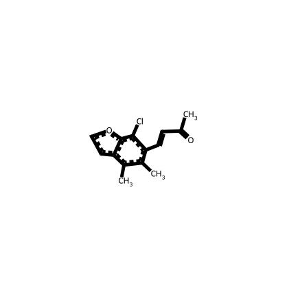 CC(=O)/C=C/c1c(C)c(C)c2ccoc2c1Cl